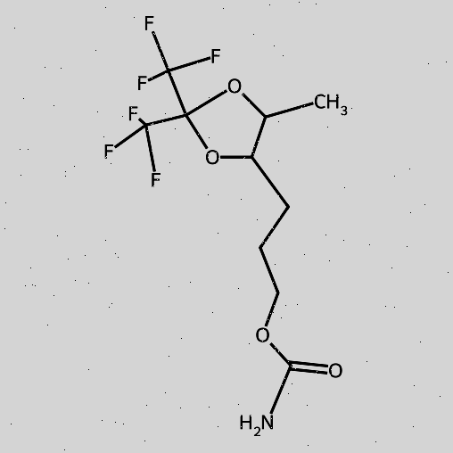 CC1OC(C(F)(F)F)(C(F)(F)F)OC1CCCOC(N)=O